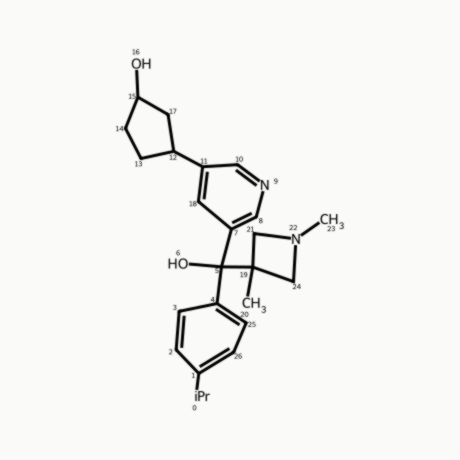 CC(C)c1ccc(C(O)(c2cncc(C3CCC(O)C3)c2)C2(C)CN(C)C2)cc1